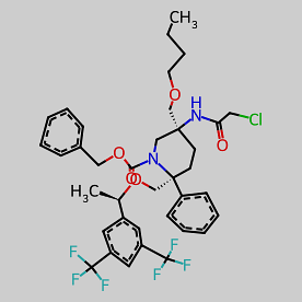 CCCCOC[C@]1(NC(=O)CCl)CC[C@@](CO[C@H](C)c2cc(C(F)(F)F)cc(C(F)(F)F)c2)(c2ccccc2)N(C(=O)OCc2ccccc2)C1